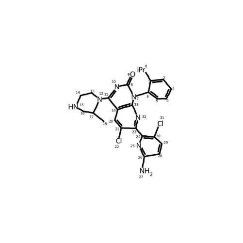 CC(C)c1ccccc1-n1c(=O)nc(N2CCNCC2C)c2cc(Cl)c(-c3nc(N)ccc3Cl)nc21